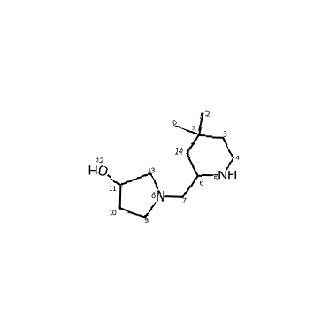 CC1(C)CCNC(CN2CCC(O)C2)C1